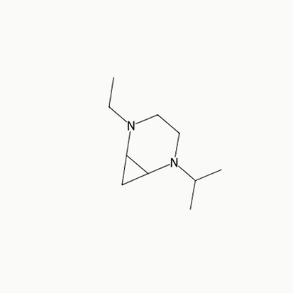 CCN1CCN(C(C)C)C2CC21